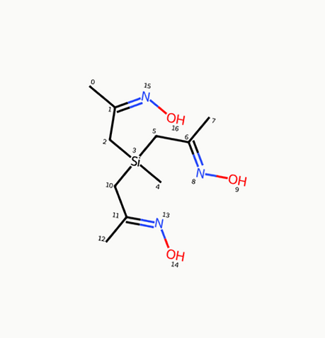 CC(C[Si](C)(CC(C)=NO)CC(C)=NO)=NO